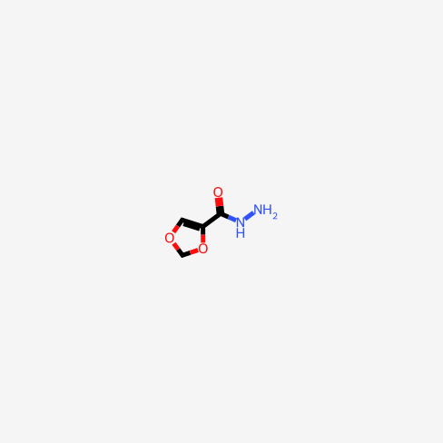 NNC(=O)C1=COCO1